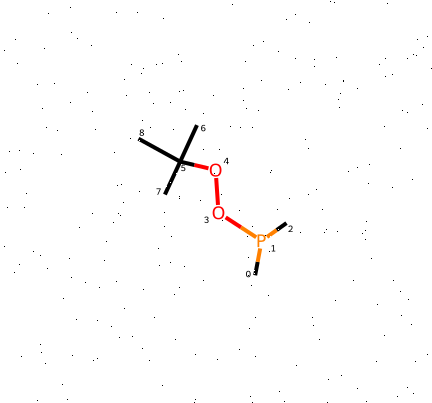 CP(C)OOC(C)(C)C